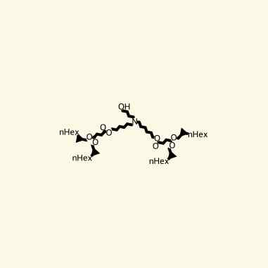 CCCCCCC1CC1COC(CCC(=O)OCCCCCCN(CCCCO)CCCCCCOC(=O)CCC(OCC1CC1CCCCCC)OCC1CC1CCCCCC)OCC1CC1CCCCCC